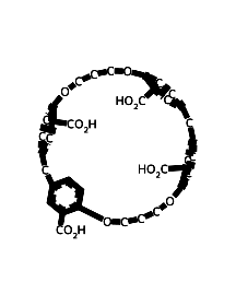 O=C(O)c1cc2ccc1OCCCOc1ccc(cc1C(=O)O)Cc1ccc(c(C(=O)O)c1)OCCCOc1ccc(cc1C(=O)O)C2